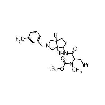 CC(C)C[C@H](C(=O)N[C@@H]1CC[C@H]2CN(Cc3cccc(C(F)(F)F)c3)C[C@H]21)N(C)C(=O)OC(C)(C)C